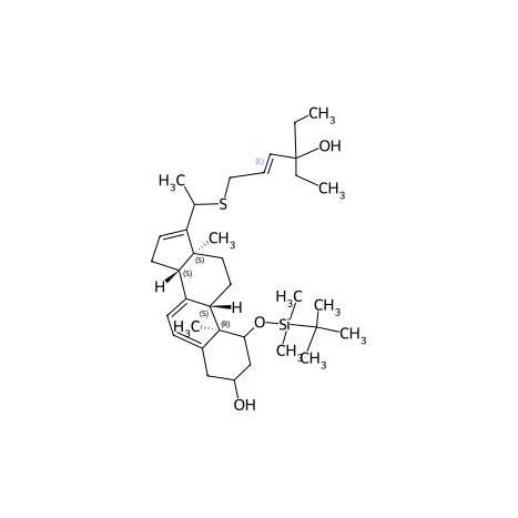 CCC(O)(/C=C/CSC(C)C1=CC[C@H]2C3=CC=C4CC(O)CC(O[Si](C)(C)C(C)(C)C)[C@]4(C)[C@H]3CC[C@]12C)CC